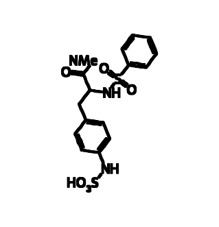 CNC(=O)C(Cc1ccc(NS(=O)(=O)O)cc1)NS(=O)(=O)c1ccccc1